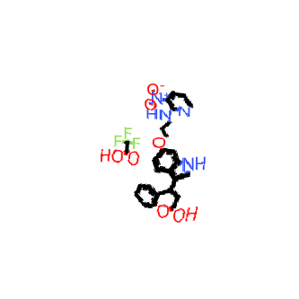 O=C(O)C(F)(F)F.O=C(O)CC(c1ccccc1)c1c[nH]c2cc(OCCCNc3ncccc3[N+](=O)[O-])ccc12